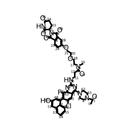 CC(=O)N1CCN(c2nc(NCCC(=O)N(C)CCOCCOc3ccc4c(c3)C(=O)N(C3CCC(=O)NC3=O)C4=O)nc3c(F)c(-c4cc(O)cc5ccccc45)c(Cl)cc23)CC1